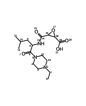 CCN1CCN(C(=O)C(CC(C)C)NC(=O)C2OC2C(=O)O)CC1